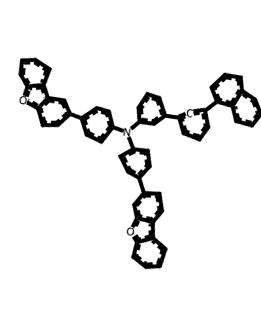 c1cc(-c2cccc(N(c3ccc(-c4ccc5c(c4)oc4ccccc45)cc3)c3ccc(-c4ccc5oc6ccccc6c5c4)cc3)c2)cc(-c2cccc3ccccc23)c1